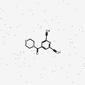 C#Cc1cc(C(=O)N2CCOCC2)cc(C#C)n1